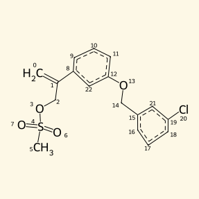 C=C(COS(C)(=O)=O)c1cccc(OCc2cccc(Cl)c2)c1